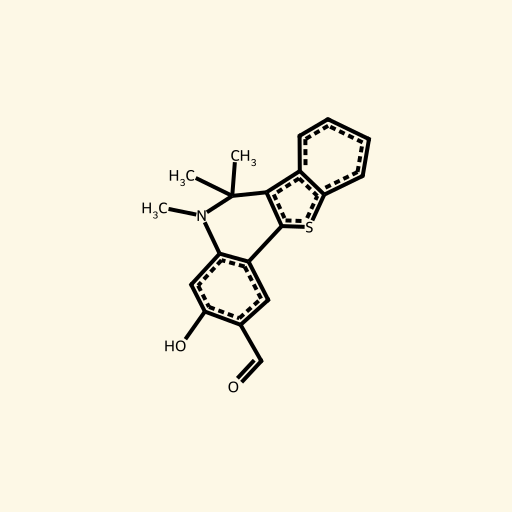 CN1c2cc(O)c(C=O)cc2-c2sc3ccccc3c2C1(C)C